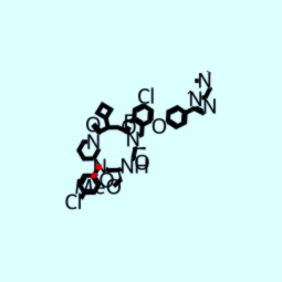 COC[C@@H]1NC(=O)[C@H](C)N(Cc2c(F)cc(Cl)cc2Oc2ccc(-c3cnc(CN(C)C)n3C)cc2)C(=O)CC(C2CCC2)C(=O)N2CCC[C@@](Cc3ccc(Cl)cc3)(C2)N(C)C1=O